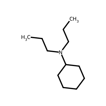 CCCN(CCC)[C]1CCCCC1